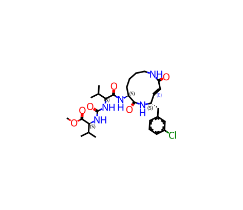 COC(=O)[C@@H](NC(=O)N[C@H](C(=O)N[C@H]1CCCCNC(=O)/C=C/[C@H](Cc2cccc(Cl)c2)NC1=O)C(C)C)C(C)C